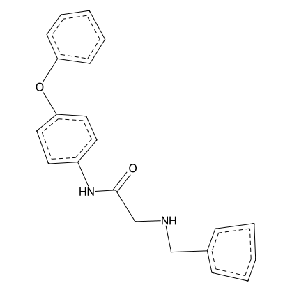 O=C(CNCc1ccccc1)Nc1ccc(Oc2ccccc2)cc1